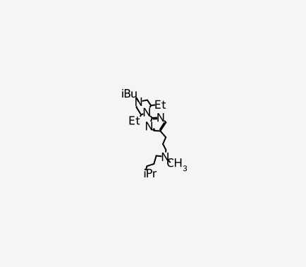 CCC(C)N1CC(CC)N(c2ncc(CCCN(C)CCCC(C)C)cn2)C(CC)C1